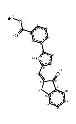 CC(C)NC(=O)c1cccc(-c2ccc(C=C3Sc4ccccc4C3=O)o2)c1